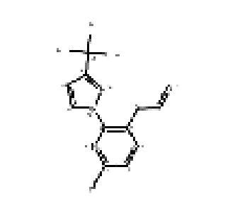 O=CCc1ccc(Cl)nc1-n1ccc(C(F)(F)F)n1